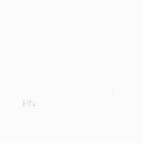 C=C/C=C(/O)C1=C(C)CNCC1